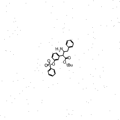 CC(C)(C)OC(=O)C(c1cccc(OS(=O)(=O)c2ccccc2)c1)C(N)Cc1ccccc1